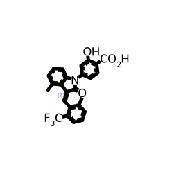 Cc1cccc(C(F)(F)F)c1/C=C1\C(=O)N(c2ccc(C(=O)O)c(O)c2)c2cccc(C)c21